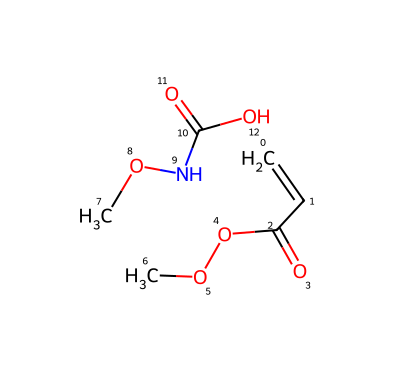 C=CC(=O)OOC.CONC(=O)O